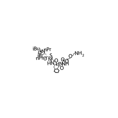 CCCO[C@H](CC(C(C)C)N(CCC)C(=O)C[C@@H](C)CC)c1nc(C(=O)N[C@H]2Cc3ccccc3[C@H](C(=O)NNC(=O)OCCOCCN)C2)cs1